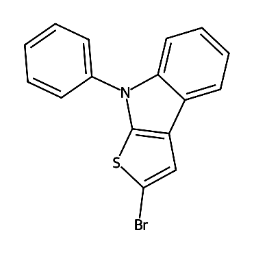 Brc1cc2c3ccccc3n(-c3ccccc3)c2s1